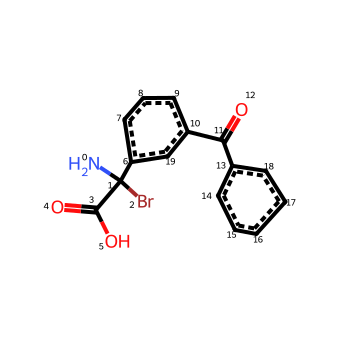 NC(Br)(C(=O)O)c1cccc(C(=O)c2ccccc2)c1